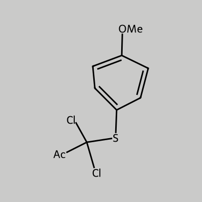 COc1ccc(SC(Cl)(Cl)[13C](C)=O)cc1